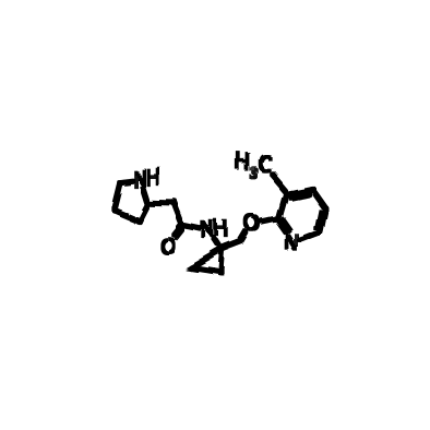 Cc1cccnc1OCC1(NC(=O)CC2CCCN2)CC1